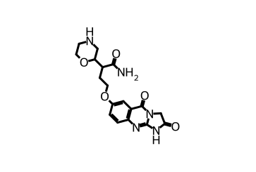 NC(=O)C(CCOc1ccc2nc3n(c(=O)c2c1)CC(=O)N3)C1CNCCO1